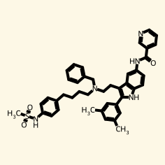 Cc1cc(C)cc(-c2[nH]c3ccc(NC(=O)c4cccnc4)cc3c2CCN(CCCCc2ccc(NS(C)(=O)=O)cc2)Cc2ccccc2)c1